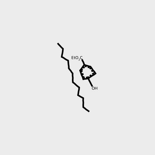 CCCCCCCCCCCC.CCOC(=O)c1ccc(O)cc1